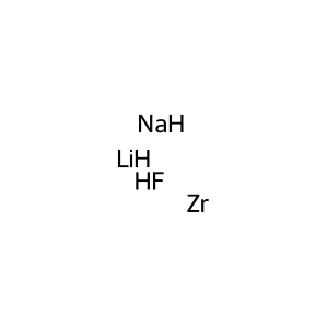 F.[LiH].[NaH].[Zr]